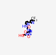 Cc1ncc(-c2cccc(NC(=O)Cn3cnc4c3c(=O)n(CCO)c(=O)n4C)n2)cc1C(F)(F)F